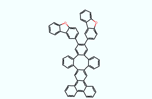 c1ccc2c(c1)-c1cc(-c3ccc4oc5ccccc5c4c3)c(-c3ccc4oc5ccccc5c4c3)cc1-c1ccccc1-c1cc3c4ccccc4c4ccccc4c3cc1-2